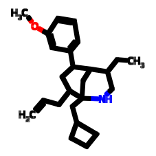 C=CCC1CC(c2cccc(OC)c2)C2CC1(CC1CCC1)NCC2CC